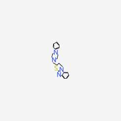 c1ccc(N2CCN(CC3CCn4c(nc5ccccc54)S3)CC2)cc1